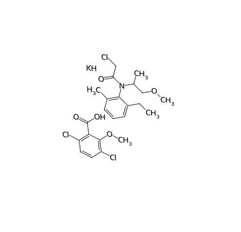 CCc1cccc(C)c1N(C(=O)CCl)C(C)COC.COc1c(Cl)ccc(Cl)c1C(=O)O.[KH]